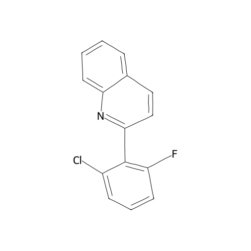 Fc1cccc(Cl)c1-c1ccc2ccccc2n1